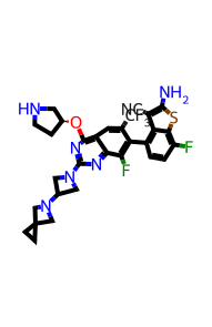 N#Cc1c(N)sc2c(F)ccc(-c3c(C(F)(F)F)cc4c(O[C@@H]5CCNC5)nc(N5CC(N6CC7(CC7)C6)C5)nc4c3F)c12